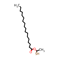 CCCCCCCCCCCCCCCCCC(=O)OC(C)S